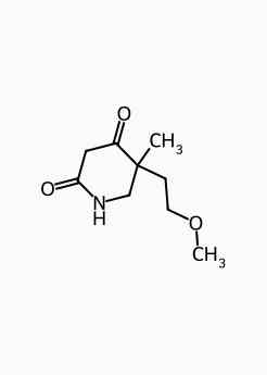 COCCC1(C)CNC(=O)CC1=O